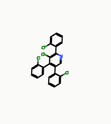 Clc1ccccc1-c1cnc(-c2ccccc2Cl)c(Cl)c1-c1ccccc1Cl